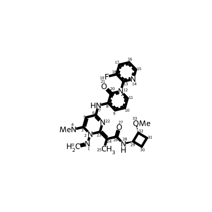 C=NN1C(NC)=CC(Nc2cccn(-c3ncccc3F)c2=O)=N/C1=C(/C)C(=O)N[C@@H]1CC[C@H]1OC